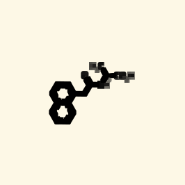 C[C@H](NC(=O)Cc1cccc2ccccc12)C(=O)O